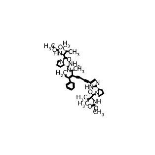 C=C/C(=C(/C#CC#Cc1cnc([C@@H]2CCCN2C(=O)[C@@H](NC(=O)OC)C(C)C)[nH]1)C(C)/N=C(\N)[C@@H]1CCCN1C(=O)[C@@H](NC(=O)OC)C(C)C)c1ccccc1